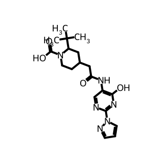 CC(C)(C)C1CC(CC(=O)Nc2cnc(-n3cccn3)nc2O)CCN1C(=O)O